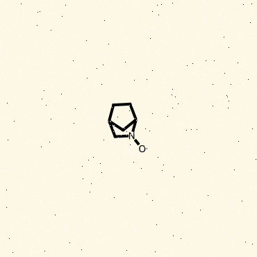 [O]N1CC2CCC1C2